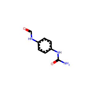 NC(=O)Nc1ccc(NC=O)cc1